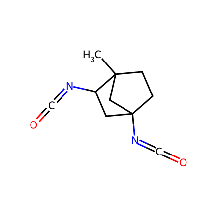 CC12CCC(N=C=O)(CC1N=C=O)C2